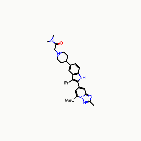 COc1cc(-c2[nH]c3ccc(C4CCN(CC(=O)N(C)C)CC4)cc3c2C(C)C)cc2nc(C)nn12